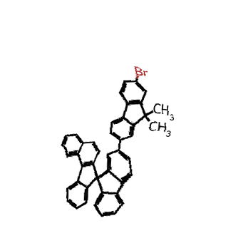 CC1(C)c2cc(Br)ccc2-c2ccc(-c3ccc4c(c3)C3(c5ccccc5-4)c4ccccc4-c4c3ccc3ccccc43)cc21